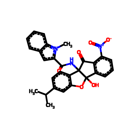 CC(C)c1ccc2c(c1)OC1(O)c3cccc([N+](=O)[O-])c3C(=O)C21NC(=O)c1cc2ccccc2n1C